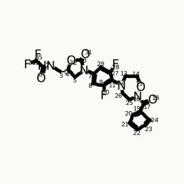 O=C(NC[C@H]1CN(c2cc(F)c(N3CCON(C(=O)c4ccccc4)CC3)c(F)c2)C(=O)O1)C(F)F